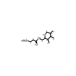 CCCCCCCCCCCC(=O)OCC1OCC(C)C(C)C1C